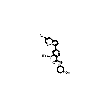 CC(C)Nc1cc(-c2ccc3cc(C#N)cnn23)ncc1C(=O)N[C@@H]1CCC[C@@H](O)C1